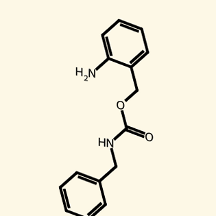 Nc1ccccc1COC(=O)NCc1ccccc1